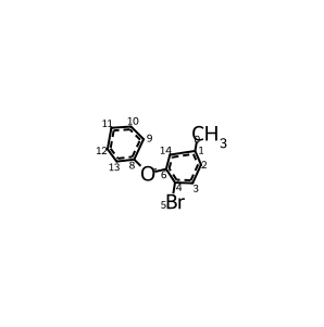 Cc1ccc(Br)c(Oc2ccccc2)c1